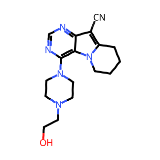 N#Cc1c2n(c3c(N4CCN(CCO)CC4)ncnc13)CCCC2